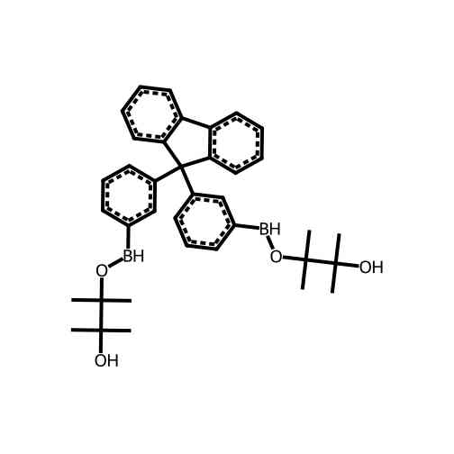 CC(C)(O)C(C)(C)OBc1cccc(C2(c3cccc(BOC(C)(C)C(C)(C)O)c3)c3ccccc3-c3ccccc32)c1